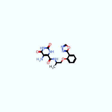 CC(COc1ccccc1-c1nnco1)NC(=O)c1[nH]c(=O)[nH]c(=O)c1N